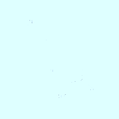 CC1C(=O)c2ccccc2C1Nc1ccc(N)cc1